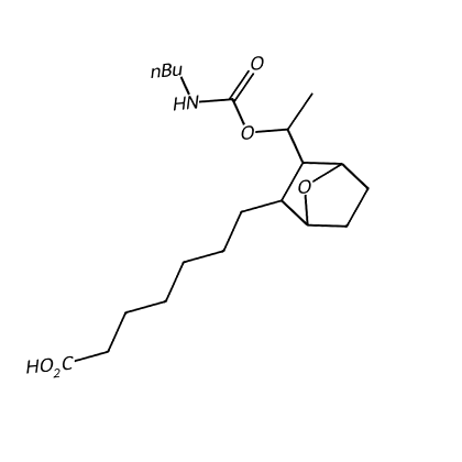 CCCCNC(=O)OC(C)C1C2CCC(O2)C1CCCCCCC(=O)O